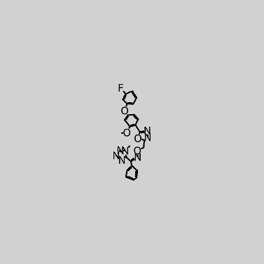 COc1cc(Oc2cccc(F)c2)ccc1-c1nnc(CO/N=C(/c2ccccc2)c2nnnn2C)o1